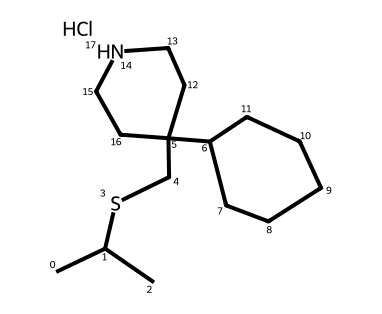 CC(C)SCC1(C2CCCCC2)CCNCC1.Cl